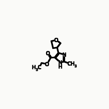 CCOC(=O)c1[nH]c(C)nc1C1CCOC1